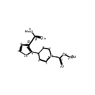 CCCCOC(=O)N1CCC(c2sccc2C(=O)OC)CC1